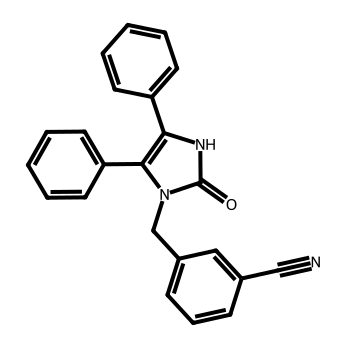 N#Cc1cccc(Cn2c(-c3ccccc3)c(-c3ccccc3)[nH]c2=O)c1